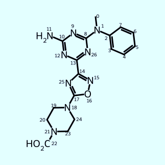 CN(c1ccccc1)c1nc(N)nc(-c2noc(N3CCN(C(=O)O)CC3)n2)n1